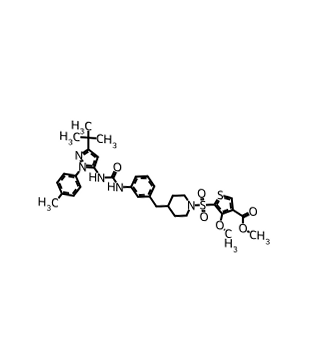 COC(=O)c1csc(S(=O)(=O)N2CCC(Cc3cccc(NC(=O)Nc4cc(C(C)(C)C)nn4-c4ccc(C)cc4)c3)CC2)c1OC